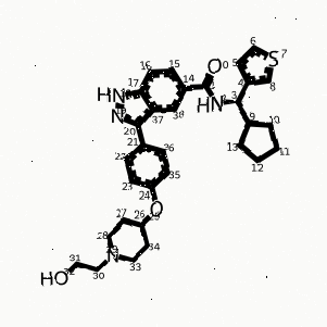 O=C(N[C@@H](c1ccsc1)C1CCCC1)c1ccc2[nH]nc(-c3ccc(OC4CCN(CCO)CC4)cc3)c2c1